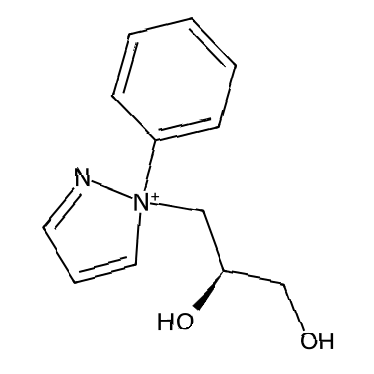 OC[C@@H](O)C[N+]1(c2ccccc2)C=CC=N1